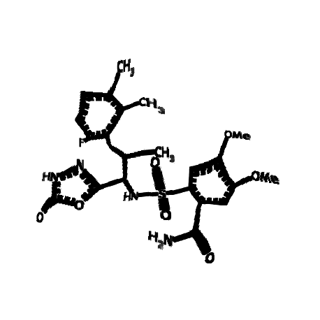 COc1cc(C(N)=O)c(S(=O)(=O)NC(c2n[nH]c(=O)o2)C(C)c2c(F)ccc(C)c2C)cc1OC